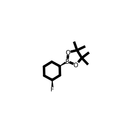 CC1(C)OB([C@@H]2CCC[C@H](F)C2)OC1(C)C